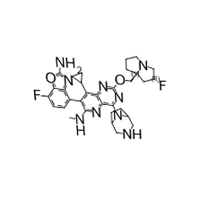 CNc1nc2c(N3C4CCC3CNC4)nc(OC[C@@]34CCCN3C[C@H](F)C4)nc2c(C2CC2)c1-c1ccc(F)c2oc(N)nc12